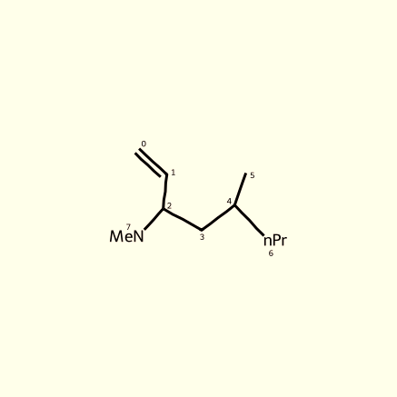 C=CC(CC(C)CCC)NC